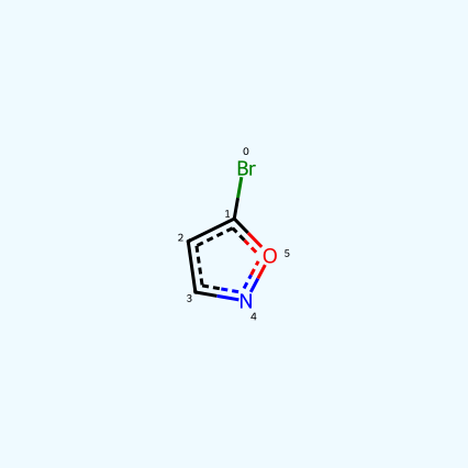 Brc1ccno1